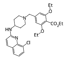 CCOC(=O)c1c(OCC)cc(CN2CCC(Nc3ccc4cccc(Cl)c4n3)CC2)cc1OCC